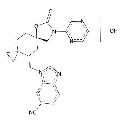 CC(C)(O)c1cnc(N2C[C@@]3(CCC4(CC4)[C@@H](Cn4cnc5ccc(C#N)cc54)C3)OC2=O)cn1